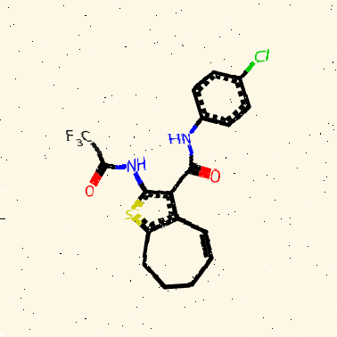 O=C(Nc1ccc(Cl)cc1)c1c(NC(=O)C(F)(F)F)sc2c1C=CCCC2